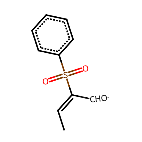 CC=C([C]=O)S(=O)(=O)c1ccccc1